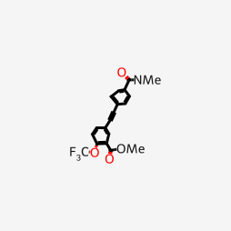 CNC(=O)c1ccc(C#Cc2ccc(OC(F)(F)F)c(C(=O)OC)c2)cc1